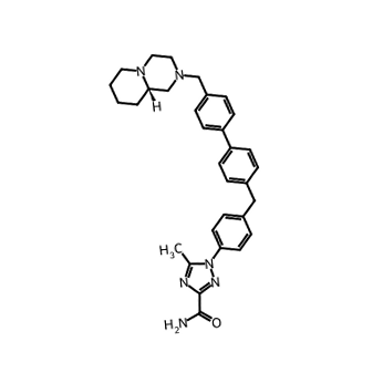 Cc1nc(C(N)=O)nn1-c1ccc(Cc2ccc(-c3ccc(CN4CCN5CCCC[C@H]5C4)cc3)cc2)cc1